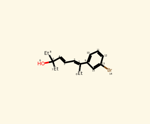 CC/C(=C\C=C\C(O)(CC)CC)c1cccc(Br)c1